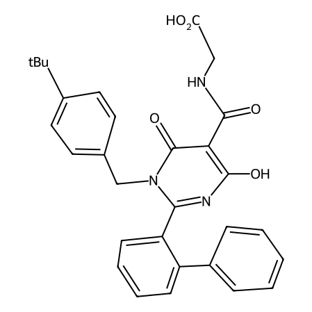 CC(C)(C)c1ccc(Cn2c(-c3ccccc3-c3ccccc3)nc(O)c(C(=O)NCC(=O)O)c2=O)cc1